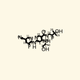 C[C@@H](CO)Nc1cc(Nc2ncc(C#N)cc2F)ncc1C(=O)NC[C@@H](F)C(C)(C)O